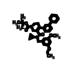 CCOc1cc(CN(C(=O)C2=C(c3cccc(-c4ccccc4)c3)CCN(C(=O)OC(C)(C)C)C2)C2CC2)cc(OC)c1